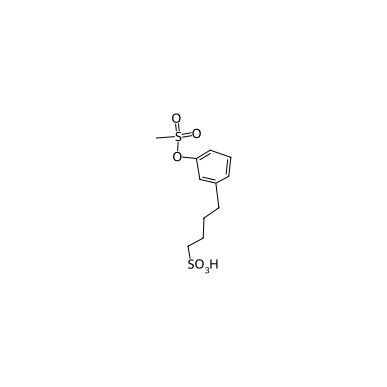 CS(=O)(=O)Oc1cccc(CCCCS(=O)(=O)O)c1